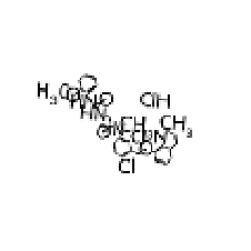 COc1ccccc1NC(=O)NCC(=O)N(C)c1ccc(Cl)c(COc2cccc3ccc(C)nc23)c1Cl.Cl